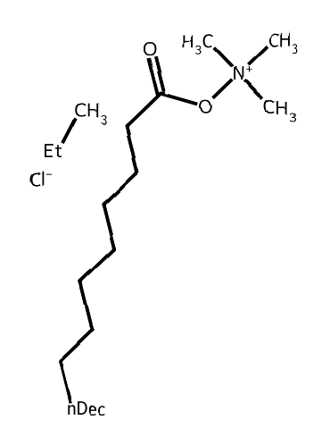 CCC.CCCCCCCCCCCCCCCCCC(=O)O[N+](C)(C)C.[Cl-]